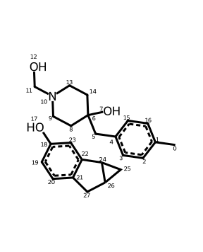 Cc1ccc(CC2(O)CCN(CO)CC2)cc1.Oc1ccc2c(c1)C1CC1C2